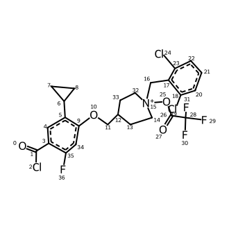 O=C(Cl)c1cc(C2CC2)c(OCC2CC[N+](Cc3c(Cl)cccc3Cl)(OC(=O)C(F)(F)F)CC2)cc1F